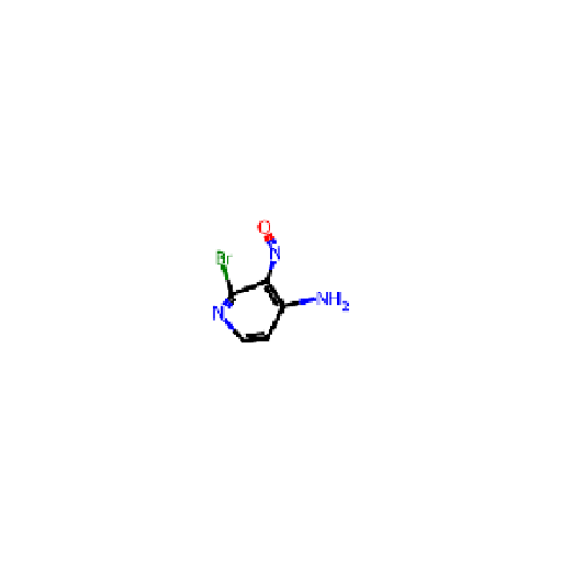 Nc1ccnc(Br)c1N=O